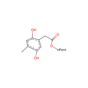 CCCCCOC(=O)Cc1cc(O)c(C)cc1O